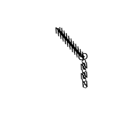 CN=NN=NN=NN=NN=NN=NN=NN=NN=NN=NOC(=O)c1ccc(N=Nc2ccc(N=Nc3ccc(N4CCCCC4)cc3)cc2)cc1